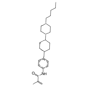 C=C(C)C(=O)Nc1ccc(C2CCC(C3CCC(CCCCC)CC3)CC2)cc1